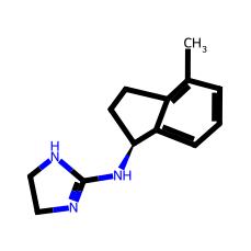 Cc1cccc2c1CC[C@@H]2NC1=NCCN1